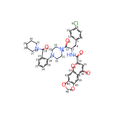 O=C(N[C@H](Cc1ccc(Cl)cc1)C(=O)N1CCN(c2ccccc2C(=O)N2CCCCC2)CC1)c1cc(=O)c2cc3c(cc2o1)OCO3